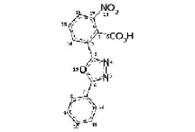 O=C(O)c1c(-c2nnc(-c3ccccc3)o2)cccc1[N+](=O)[O-]